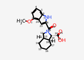 COc1cccc2[nH]c(C(=O)N3C[C@@H]4CCCC[C@@H]4[C@H]3C(=O)O)cc12